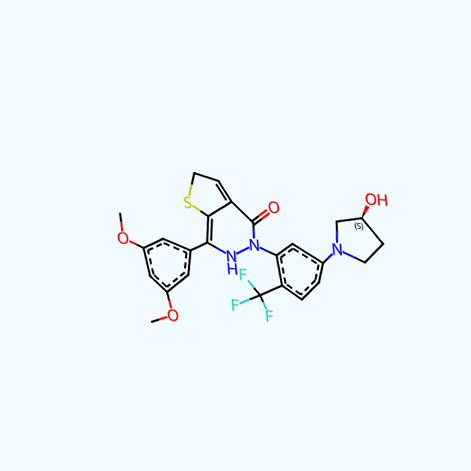 COc1cc(OC)cc(C2=C3SCC=C3C(=O)N(c3cc(N4CC[C@H](O)C4)ccc3C(F)(F)F)N2)c1